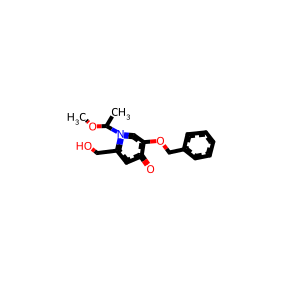 COC(C)n1cc(OCc2ccccc2)c(=O)cc1CO